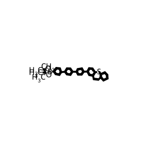 CC1(C)OB(c2ccc(-c3ccc(-c4ccc(-c5ccc6c(c5)C=Cc5ccccc5S6)cc4)cc3)cc2)OC1(C)C